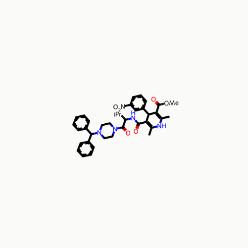 COC(=O)C1=C(C)NC(C)=C(C(=O)NC(C(=O)N2CCN(C(c3ccccc3)c3ccccc3)CC2)C(C)C)C1c1cccc([N+](=O)[O-])c1